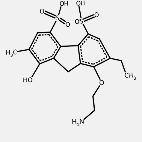 CCc1cc(S(=O)(=O)O)c2c(c1OCCN)Cc1c(O)c(C)cc(S(=O)(=O)O)c1-2